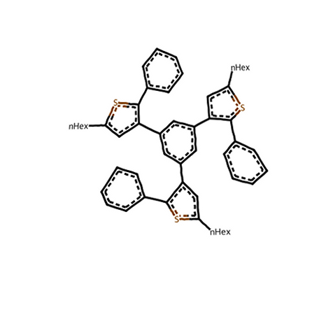 CCCCCCc1cc(-c2cc(-c3cc(CCCCCC)sc3-c3ccccc3)cc(-c3cc(CCCCCC)sc3-c3ccccc3)c2)c(-c2ccccc2)s1